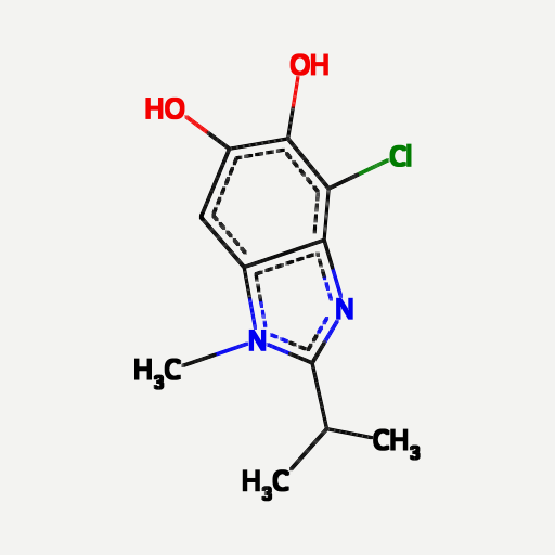 CC(C)c1nc2c(Cl)c(O)c(O)cc2n1C